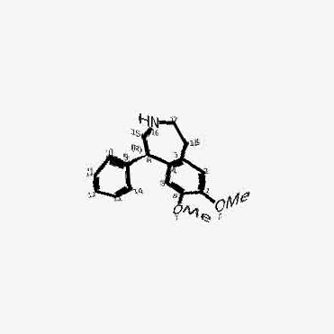 COc1cc2c(cc1OC)[C@@H](c1ccccc1)CNCC2